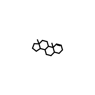 CC12CCCC1C1CCC3CCC=CC3(C)C1CC2